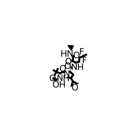 CC(F)(F)CCC(NC(=O)[C@@H]1CC(C2COC2)CN1C(=O)C(NC(=O)O)C(C)(C)C)C(=O)C(=O)NC1CC1